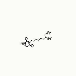 CC(C)CC(CCCCCCn1c(=O)cc[nH]c1=O)C(C)C